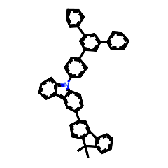 CC1(C)c2ccccc2-c2cc(-c3ccc4c(c3)c3ccccc3n4-c3ccc(-c4cc(-c5ccccc5)cc(-c5ccccc5)c4)cc3)ccc21